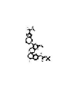 CSc1nc2c(c(N3CCCn4nc(C(=O)N(C)C)cc4C3)n1)COC1(CC[C@@H](C)c3ccc(NC(=O)OC(C)(C)C)cc31)C2